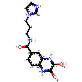 O=C(NCCCn1ccnc1)c1ccc2[nH]c(=O)c(O)nc2c1